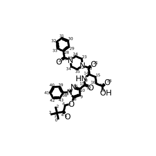 CC(C)(C)C(=O)COc1cc(C(=O)NC(CCC(=O)O)C(=O)N2CCN(C(=O)c3ccccc3)CC2)nn1-c1ccccc1